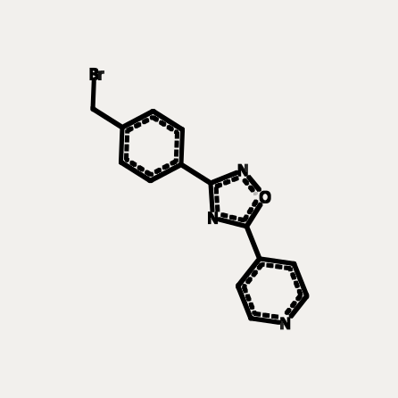 BrCc1ccc(-c2noc(-c3ccncc3)n2)cc1